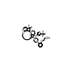 O=C1c2c(C(F)(F)F)ccnc2OCCCCCCC[C@H]2N1CCC[C@@]2(Oc1csc(C(F)(F)F)c1)C(=O)N1CCN(c2ccccc2OCCO)CC1